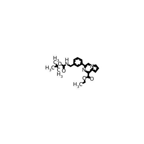 CCOC(=O)c1nc(-c2cccc(CNC(=O)OC(C)(C)C)c2)cn2cccc12